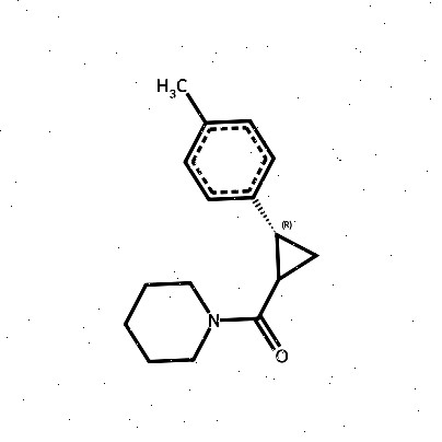 Cc1ccc([C@@H]2CC2C(=O)N2CCCCC2)cc1